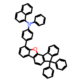 c1ccc(N(c2ccc(-c3cccc4c3oc3c5c(ccc34)C(c3ccccc3)(c3ccccc3)c3ccccc3-5)cc2)c2cccc3ccccc23)cc1